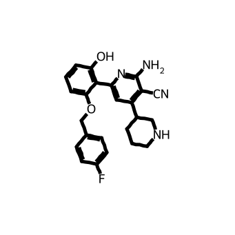 N#Cc1c(C2CCCNC2)cc(-c2c(O)cccc2OCc2ccc(F)cc2)nc1N